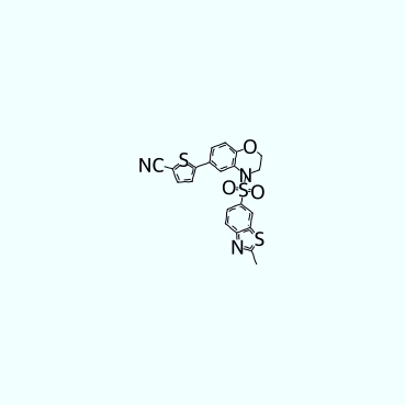 Cc1nc2ccc(S(=O)(=O)N3CCOc4ccc(-c5ccc(C#N)s5)cc43)cc2s1